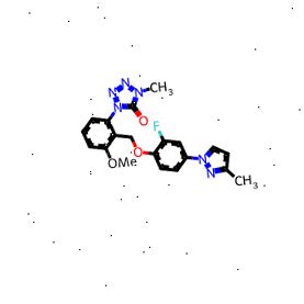 COc1cccc(-n2nnn(C)c2=O)c1COc1ccc(-n2ccc(C)n2)cc1F